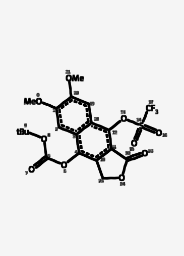 COc1cc2c(OC(=O)OC(C)(C)C)c3c(c(OS(=O)(=O)C(F)(F)F)c2cc1OC)C(=O)OC3